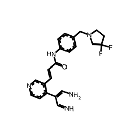 N=C/C(=C\N)c1ccncc1/C=C/C(=O)Nc1ccc(CN2CCC(F)(F)C2)cc1